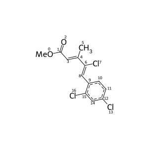 COC(=O)C=C(C)C(Cl)=Cc1ccc(Cl)cc1Cl